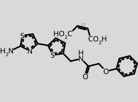 Nc1nc(-c2ccc(CNC(=O)COc3ccccc3)s2)cs1.O=C(O)/C=C\C(=O)O